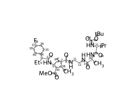 CCC(C(=O)Nc1sc(C(=O)NCCNC(=O)C(C)NC(=O)C(NC(=O)OC(C)(C)C)C(C)C)c(C)c1C(=O)OC)c1ccc(F)cc1